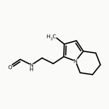 Cc1cc2n(c1CCNC=O)CCCC2